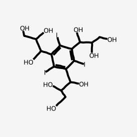 OCC(O)C(O)c1c(I)c(C(O)C(O)CO)c(I)c(C(O)C(O)CO)c1I